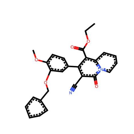 CCOC(=O)c1c(-c2ccc(OC)c(OCc3ccccc3)c2)c(C#N)c(=O)n2ccccc12